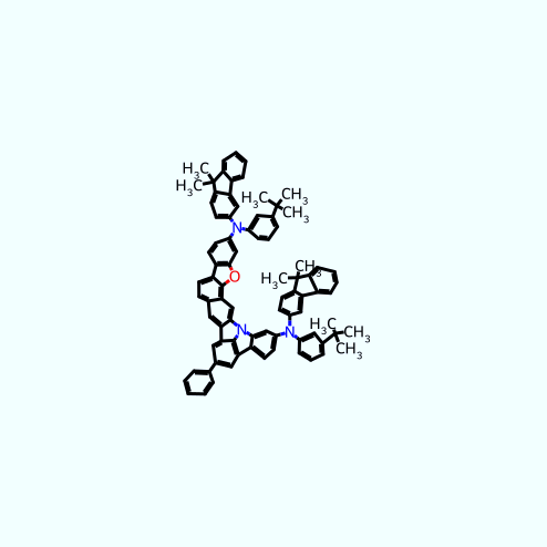 CC(C)(C)c1cccc(N(c2ccc3c(c2)-c2ccccc2C3(C)C)c2ccc3c(c2)oc2c4cc5c(cc4ccc32)c2cc(-c3ccccc3)cc3c4ccc(N(c6cccc(C(C)(C)C)c6)c6ccc7c(c6)-c6ccccc6C7(C)C)cc4n5c32)c1